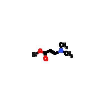 CCOC(=O)/C=C/N(C)C